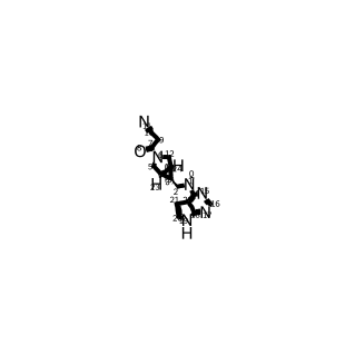 CN(C[C@H]1[C@@H]2CN(C(=O)CC#N)C[C@@H]21)c1ncnc2[nH]ccc12